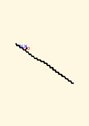 CCCCCCC/C=C/C=C/C=C/C=C/CCCCCCCCCCCCC/C=C/CCC(CCCCCC)C(N)=O